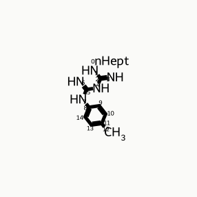 CCCCCCCNC(=N)NC(=N)Nc1ccc(C)cc1